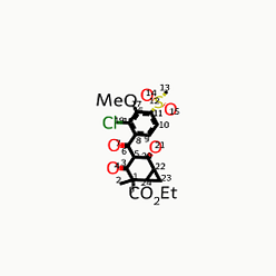 CCOC(=O)C1(C)C(=O)C(C(=O)c2ccc(S(C)(=O)=O)c(OC)c2Cl)C(=O)C2CC21